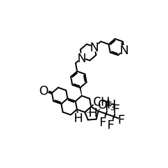 C[C@]12C[C@H](c3ccc(CN4CCN(Cc5ccncc5)CC4)cc3)C3=C4CCC(=O)C=C4CC[C@H]3[C@@H]1CC[C@]2(O)C(F)(F)C(F)(F)F